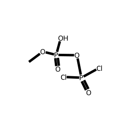 COP(=O)(O)OP(=O)(Cl)Cl